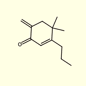 C=C1CC(C)(C)C(CCC)=CC1=O